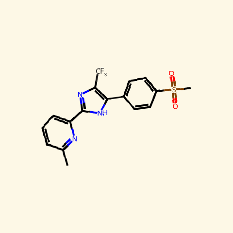 Cc1cccc(-c2nc(C(F)(F)F)c(-c3ccc(S(C)(=O)=O)cc3)[nH]2)n1